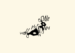 COC(=O)c1ccc2c(c1)/C(=C(\C)Nc1ccc(C(=O)NO)cc1)C(=O)N2